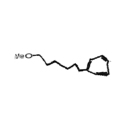 COCCCCCCc1cc[c]cc1